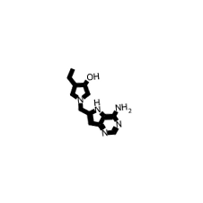 CCC1CN(Cc2cc3ncnc(N)c3[nH]2)CC1O